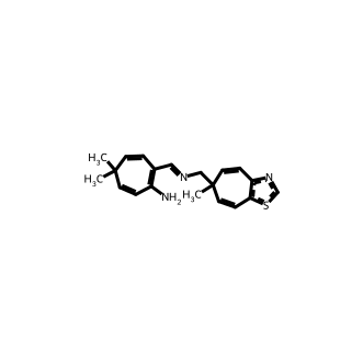 CC1(C)C=CC(N)=C(/C=N/CC2(C)C=Cc3ncsc3C=C2)C=C1